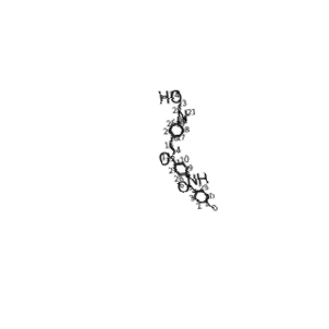 Cc1ccc(C(=O)Nc2ccc(C(=O)/C=C/c3ccc(N(C)CCO)cc3)cc2)cc1